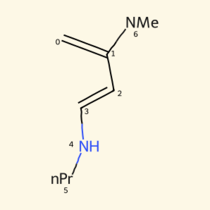 C=C(/C=C/NCCC)NC